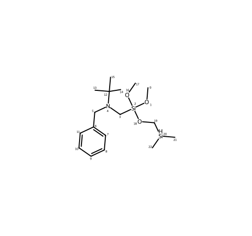 CO[Si](CN(Cc1ccccc1)C(C)(C)C)(OC)OC[SiH](C)C